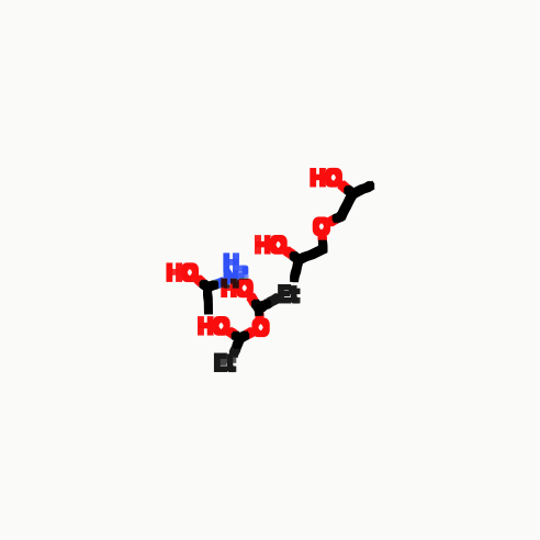 CC(N)O.CC(O)COCC(C)O.CCC(O)OC(O)CC